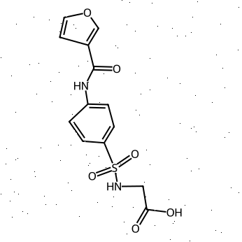 O=C(O)CNS(=O)(=O)c1ccc(NC(=O)c2ccoc2)cc1